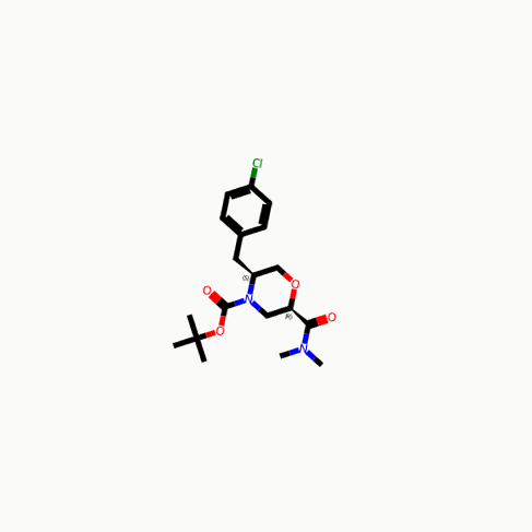 CN(C)C(=O)[C@H]1CN(C(=O)OC(C)(C)C)[C@@H](Cc2ccc(Cl)cc2)CO1